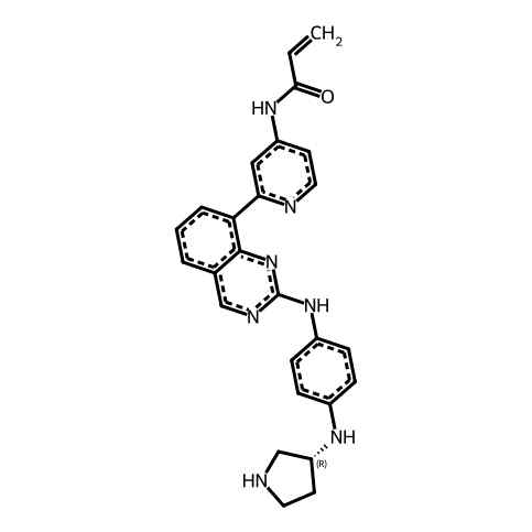 C=CC(=O)Nc1ccnc(-c2cccc3cnc(Nc4ccc(N[C@@H]5CCNC5)cc4)nc23)c1